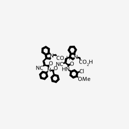 COc1ccc(NC(=O)C(C#N)=Cc2cn(CC(=O)O)c3ccccc23)cc1Cl.N#CC(=Cc1cn(CC(=O)O)c2ccccc12)C(=O)N(C(=O)c1ccccc1)c1ccccc1